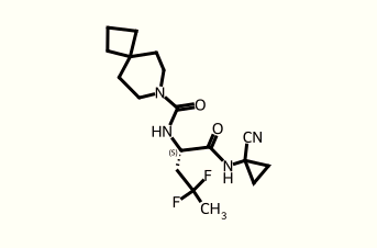 CC(F)(F)C[C@H](NC(=O)N1CCC2(CCC2)CC1)C(=O)NC1(C#N)CC1